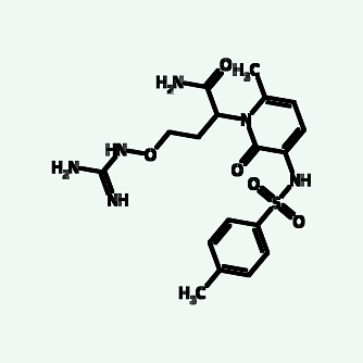 Cc1ccc(S(=O)(=O)Nc2ccc(C)n(C(CCONC(=N)N)C(N)=O)c2=O)cc1